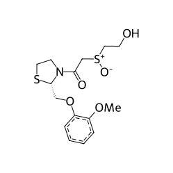 COc1ccccc1OC[C@@H]1SCCN1C(=O)C[S+]([O-])CCO